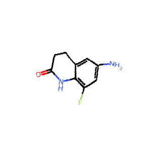 Nc1cc(F)c2c(c1)CCC(=O)N2